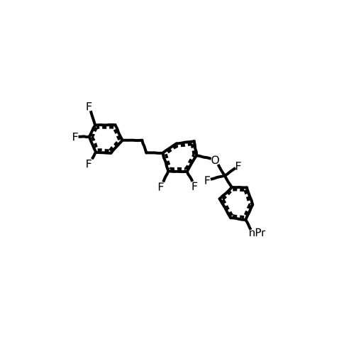 CCCc1ccc(C(F)(F)Oc2ccc(CCc3cc(F)c(F)c(F)c3)c(F)c2F)cc1